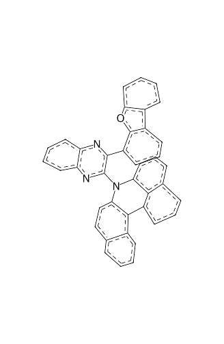 c1ccc2c3c(ccc2c1)N(c1nc2ccccc2nc1-c1cccc2c1oc1ccccc12)c1cccc2cccc-3c12